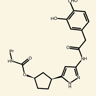 CC(C)NC(=O)O[C@@H]1CC[C@H](c2cc(NC(=O)Cc3ccc(C=O)c(O)c3)n[nH]2)C1